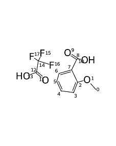 COc1ccccc1C(=O)O.O=C(O)C(F)(F)F